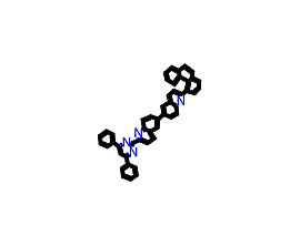 c1ccc(-c2cc(-c3ccccc3)nc(-c3ccc4cc(-c5ccc6nc(-c7cccc8ccc9ccccc9c78)ccc6c5)ccc4n3)n2)cc1